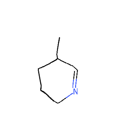 CC1C=NCCC1